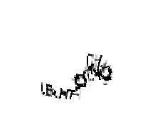 CC(C)(C)NCCc1ccc(CC(C)(C)NCc2ccccc2)cc1